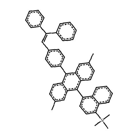 Cc1ccc2c(-c3ccc([Si](C)(C)C)c4ccccc34)c3cc(C)ccc3c(-c3ccc(C=C(c4ccccc4)c4ccccc4)cc3)c2c1